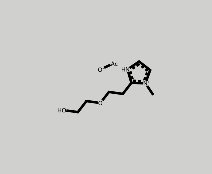 CC(=O)[O-].C[n+]1cc[nH]c1CCOCCO